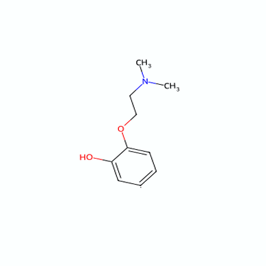 CN(C)CCOc1cc[c]cc1O